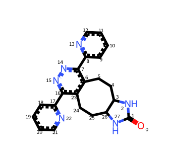 O=C1NC2CCc3c(-c4ccccn4)nnc(-c4ccccn4)c3CCC2N1